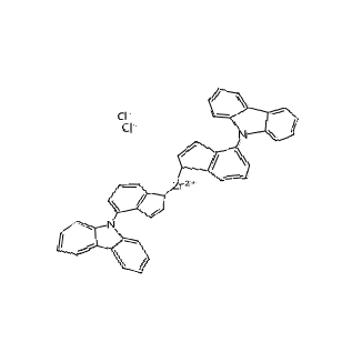 C1=C[CH]([Zr+2][CH]2C=Cc3c2cccc3-n2c3ccccc3c3ccccc32)c2cccc(-n3c4ccccc4c4ccccc43)c21.[Cl-].[Cl-]